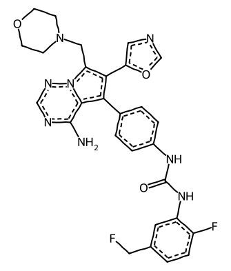 Nc1ncnn2c(CN3CCOCC3)c(-c3cnco3)c(-c3ccc(NC(=O)Nc4cc(CF)ccc4F)cc3)c12